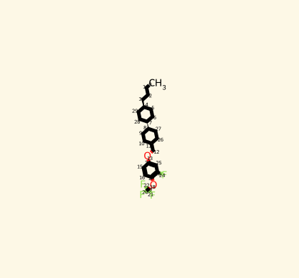 CCCC[C@H]1CC[C@H](C2CCC(COc3ccc(OC(F)(F)F)c(F)c3)CC2)CC1